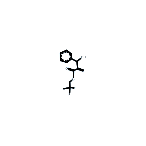 C=C(C(=O)OCC(F)(F)F)C(O)c1ccccc1